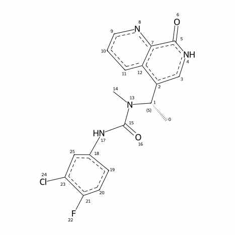 C[C@@H](c1c[nH]c(=O)c2ncccc12)N(C)C(=O)Nc1ccc(F)c(Cl)c1